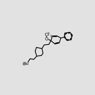 CCC(C)CCC1CCC(CCC2(OC(F)(F)F)C=CC(c3ccccc3)C=C2)CC1